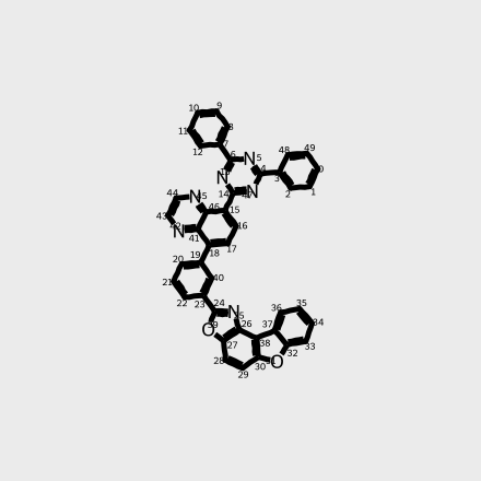 c1ccc(-c2nc(-c3ccccc3)nc(-c3ccc(-c4cccc(-c5nc6c(ccc7oc8ccccc8c76)o5)c4)c4nccnc34)n2)cc1